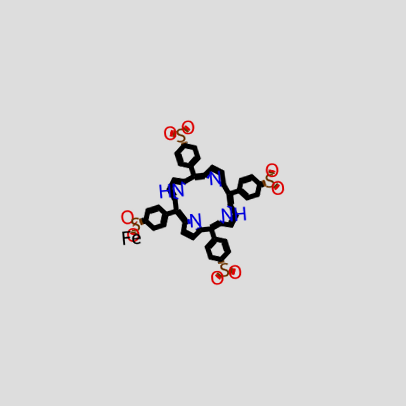 O=S(=O)=C1C=CC(c2c3nc(c(C4=CCC(=S(=O)=O)C=C4)c4ccc([nH]4)c(C4=CCC(=S(=O)=O)C=C4)c4nc(c(C5=CCC(=S(=O)=O)C=C5)c5ccc2[nH]5)C=C4)C=C3)=CC1.[Fe]